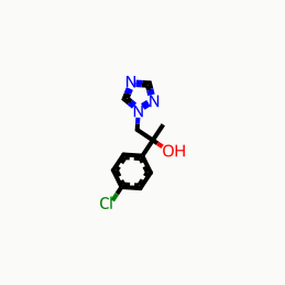 CC(O)(Cn1cncn1)c1ccc(Cl)cc1